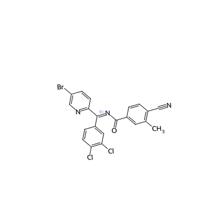 Cc1cc(C(=O)/N=C(\c2ccc(Cl)c(Cl)c2)c2ccc(Br)cn2)ccc1C#N